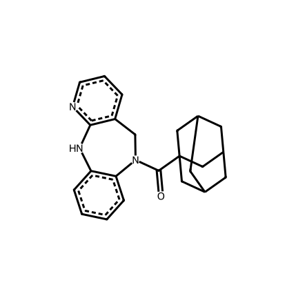 O=C(N1Cc2cccnc2Nc2ccccc21)C12CC3CC(CC(C3)C1)C2